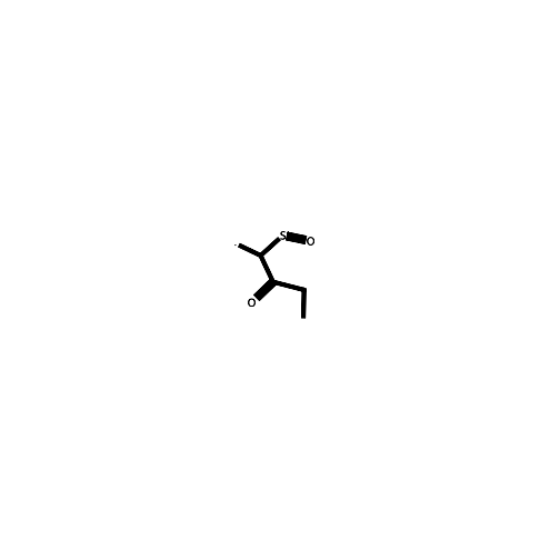 [CH2]C([S+]=O)C(=O)CC